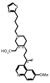 COc1ccc2nccc([C@H](F)CC[C@@H]3CCN(CCCCc4nccs4)C[C@@H]3CC(=O)O)c2c1